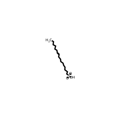 CCCCCCC=CCCCCCCCCCS(=O)(=O)O